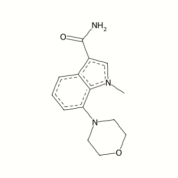 Cn1cc(C(N)=O)c2cccc(N3CCOCC3)c21